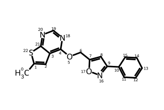 Cc1cc2c(OCc3cc(-c4ccccc4)no3)ncnc2s1